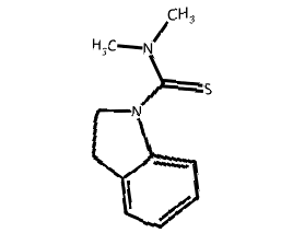 CN(C)C(=S)N1CCc2ccccc21